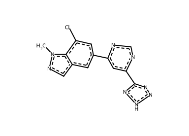 Cn1ncc2cc(-c3cc(-c4nn[nH]n4)ncn3)cc(Cl)c21